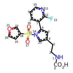 O=C(O)NCCc1cc(-c2cccnc2F)n(S(=O)(=O)c2ccoc2)c1